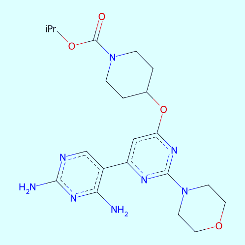 CC(C)OC(=O)N1CCC(Oc2cc(-c3cnc(N)nc3N)nc(N3CCOCC3)n2)CC1